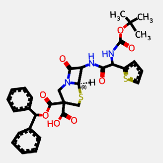 CC(C)(C)OC(=O)NC(C(=O)NC1C(=O)N2CC(C(=O)O)(C(=O)OC(c3ccccc3)c3ccccc3)CS[C@H]12)c1cccs1